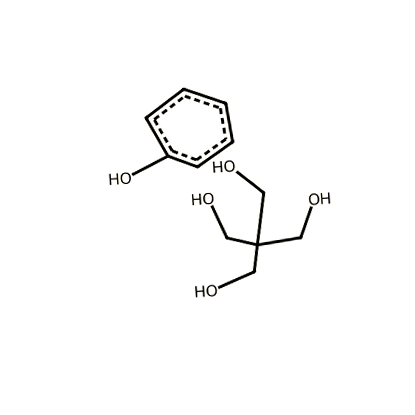 OCC(CO)(CO)CO.Oc1ccccc1